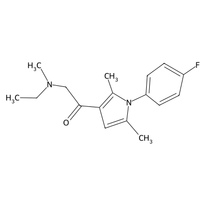 CCN(C)CC(=O)c1cc(C)n(-c2ccc(F)cc2)c1C